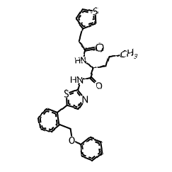 CCC[C@H](NC(=O)Cc1ccsc1)C(=O)Nc1ncc(-c2ccccc2COc2ccccc2)s1